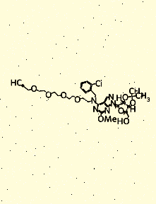 C#CCOCCOCCOCCOCCN(Cc1ccccc1Cl)c1nc(OC)nc2c1cnn2[C@@H]1O[C@H](CO)[C@H]2OC(C)(C)O[C@H]21